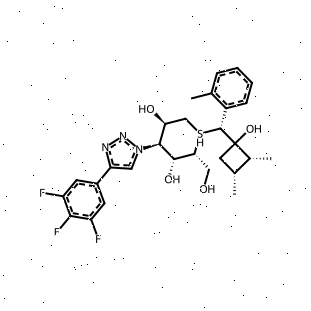 Cc1ccccc1[C@@H]([SH]1C[C@H](O)[C@H](n2cc(-c3cc(F)c(F)c(F)c3)nn2)[C@@H](O)[C@H]1CO)C1(O)C[C@@H](C)[C@H]1C